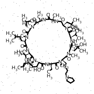 C/C=C/C[C@@H](C)[C@@H](O)[C@H]1C(=O)N[C@H](CC)C(=O)N(C)[C@H](CSCCN2CCCC2)C(=O)N(C)[C@@H](CC(C)(C)O)C(=O)N[C@H](C(C)C)C(=O)N(C)[C@H](CC(C)C)C(=O)N[C@H](C)C(=O)N[C@@H](C)C(=O)N(C)[C@@H](CC(C)C)C(=O)N(C)[C@H](CCC(C)C)C(=O)N(C)[C@H](C(C)C)C(=O)N1C